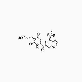 O=C(NCc1ccccc1OC(F)(F)F)c1cc(=O)n(CCCO)c(=O)[nH]1